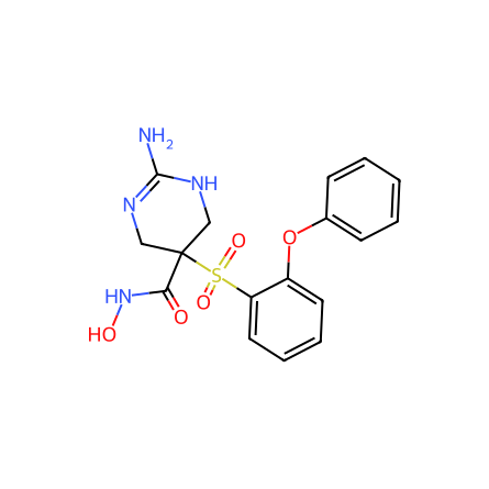 NC1=NCC(C(=O)NO)(S(=O)(=O)c2ccccc2Oc2ccccc2)CN1